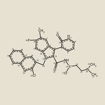 Cc1cc2c(-c3ccc[nH]c3=O)c(C(=O)N[S+]([O-])CCN(C)C)n(Cc3cc4ccccc4nc3Cl)c2cc1F